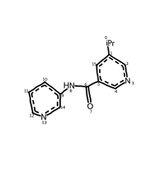 CC(C)c1cncc(C(=O)Nc2cccnc2)c1